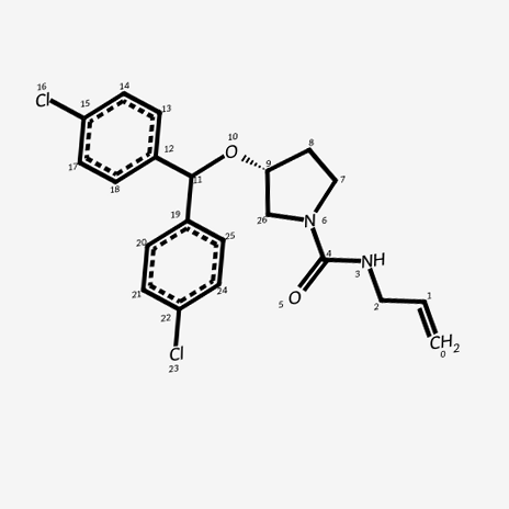 C=CCNC(=O)N1CC[C@@H](OC(c2ccc(Cl)cc2)c2ccc(Cl)cc2)C1